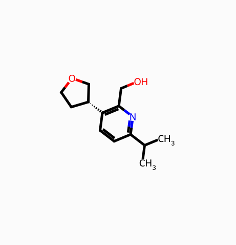 CC(C)c1ccc([C@@H]2CCOC2)c(CO)n1